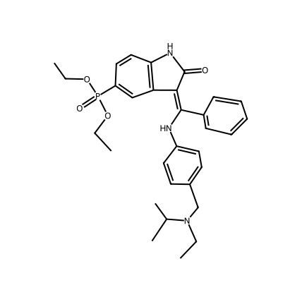 CCOP(=O)(OCC)c1ccc2c(c1)C(=C(Nc1ccc(CN(CC)C(C)C)cc1)c1ccccc1)C(=O)N2